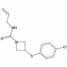 C=CCNC(=O)N1CC(Sc2ccc(Cl)cc2)C1